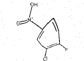 O=[N+](O)c1ccc(F)c(Cl)c1